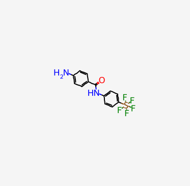 Nc1ccc(C(=O)Nc2ccc(S(F)(F)(F)(F)F)cc2)cc1